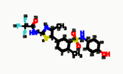 Cc1ccc(-c2sc(NC(=O)C(F)(F)F)nc2C)cc1S(=O)(=O)Nc1ccc(O)cc1